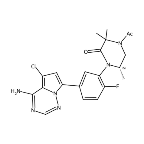 CC(=O)N1C[C@H](C)N(c2cc(-c3cc(Cl)c4c(N)ncnn34)ccc2F)C(=O)C1(C)C